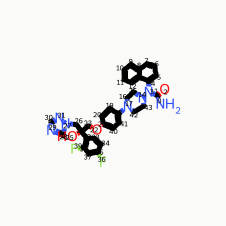 NC(=O)N(c1cccc2ccccc12)N1CCN(c2ccc(OCC(O)(Cn3cncn3)c3ccc(F)cc3F)cc2)CC1